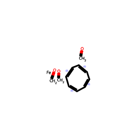 C1=C\C=C/C=C\C=C/1.C=O.C=O.C=O.[Fe]